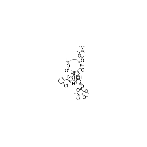 CC[C@H]1CCC[C@H](O[C@H]2CC[C@H](N(C)C)C(C)O2)[C@@H](C)C(=O)C2=C[C@H]3[C@@H]4C[C@H](O[C@@H]5OC(C)[C@H](OC)C(OC)C5OC)C[C@H]4c4sc(-c5ccccc5Cl)nc4[C@H]3[C@@H]2CC(=O)O1